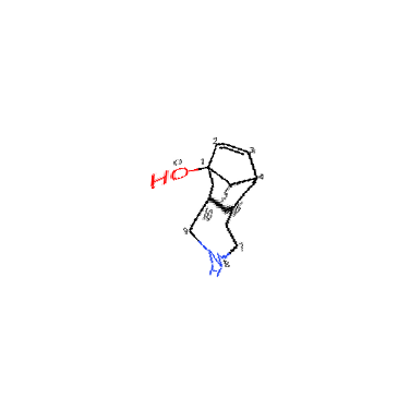 OC12C=CC(C1)C1CNCC12